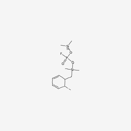 CC1C=CC=CC1C[Si](C)(C)OP(=O)(F)O[SiH](C)C